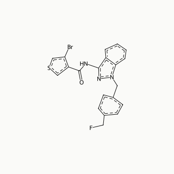 O=C(Nc1nn(Cc2ccc(CF)cc2)c2ccccc12)c1cscc1Br